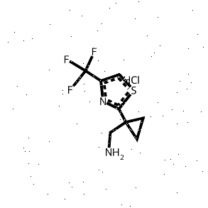 Cl.NCC1(c2nc(C(F)(F)F)cs2)CC1